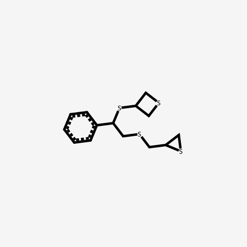 c1ccc(C(CSCC2CS2)SC2CSC2)cc1